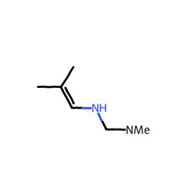 CNCNC=C(C)C